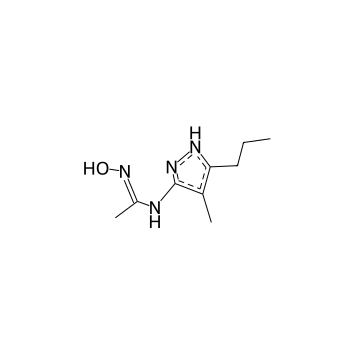 CCCc1[nH]nc(NC(C)=NO)c1C